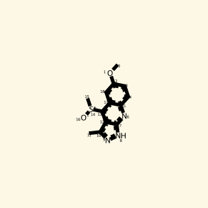 COc1ccc2nc3[nH]nc(C)c3c([S+](C)[O-])c2c1